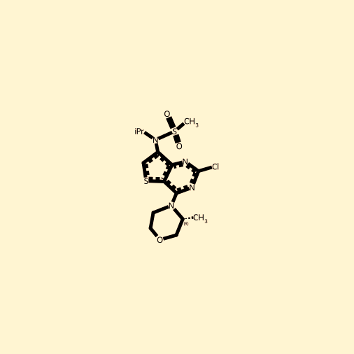 CC(C)N(c1csc2c(N3CCOC[C@H]3C)nc(Cl)nc12)S(C)(=O)=O